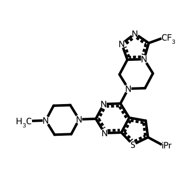 CC(C)c1cc2c(N3CCn4c(nnc4C(F)(F)F)C3)nc(N3CCN(C)CC3)nc2s1